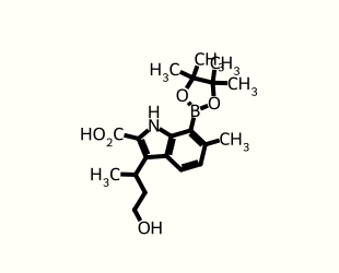 Cc1ccc2c(C(C)CCO)c(C(=O)O)[nH]c2c1B1OC(C)(C)C(C)(C)O1